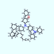 C=C(/C=C\C=C/C)C1(c2ccc(N(c3ccc4c(c3)oc3ccccc34)c3ccc4c(c3)c3ccccc3n4-c3ccccc3)cc2)c2ccccc2-c2ccccc21